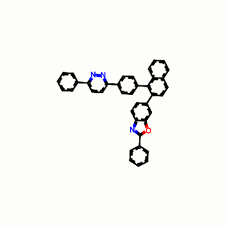 c1ccc(-c2ccc(-c3ccc(-c4c(-c5ccc6nc(-c7ccccc7)oc6c5)ccc5ccccc45)cc3)nn2)cc1